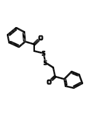 O=C(CSSCC(=O)c1ccccc1)c1ccccc1